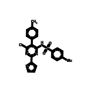 Cc1ccc(-c2c(Cl)nc(-c3cccs3)nc2NS(=O)(=O)c2ccc(C(C)(C)C)cc2)cc1